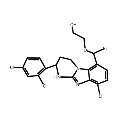 CCC(OCCO)c1ccc(Cl)c2nc3n(c12)CCC(c1ccc(Cl)cc1Cl)N3